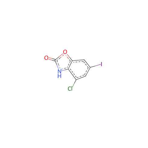 O=c1[nH]c2c(Cl)cc(I)cc2o1